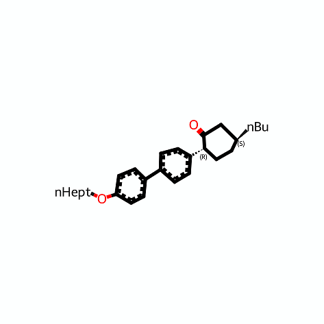 CCCCCCCOc1ccc(-c2ccc([C@H]3CC[C@H](CCCC)CC3=O)cc2)cc1